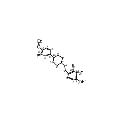 CCCc1ccc(CCC2CCC(c3ccc(OCC)c(F)c3)CC2)c(F)c1F